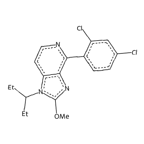 CCC(CC)n1c(OC)nc2c(-c3ccc(Cl)cc3Cl)nccc21